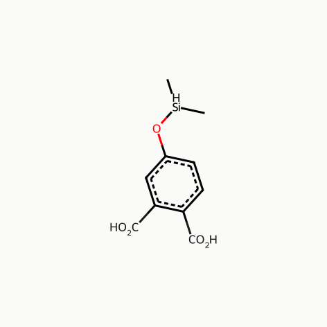 C[SiH](C)Oc1ccc(C(=O)O)c(C(=O)O)c1